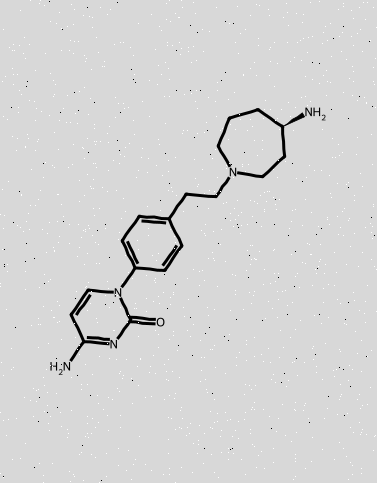 Nc1ccn(-c2ccc(CCN3CCC[C@@H](N)CC3)cc2)c(=O)n1